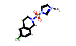 C[n+]1ccn(S(=O)(=O)N2CCc3cc(Cl)ccc3C2)c1